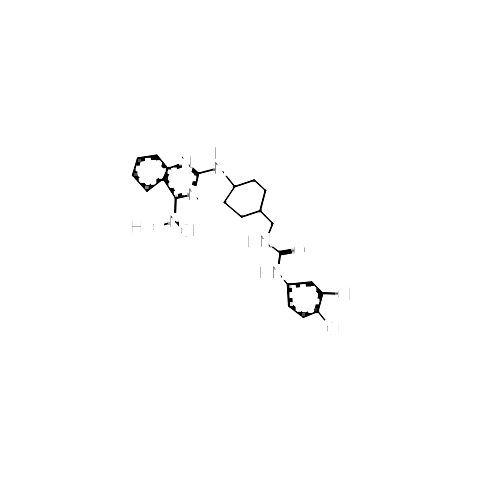 CN(C)c1nc(NC2CCC(CNC(=O)Nc3ccc(Cl)c(Cl)c3)CC2)nc2ccccc12